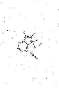 CC1=[N+](C)c2cccc(C#N)c2C1(C)C.[I-]